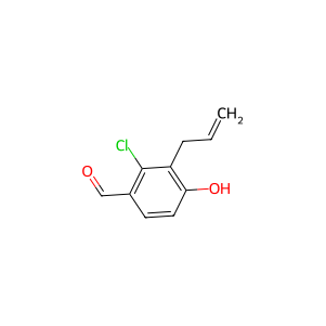 C=CCc1c(O)ccc(C=O)c1Cl